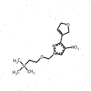 C[Si](C)(C)CCOCn1cc([N+](=O)[O-])c(C2=CCOC2)n1